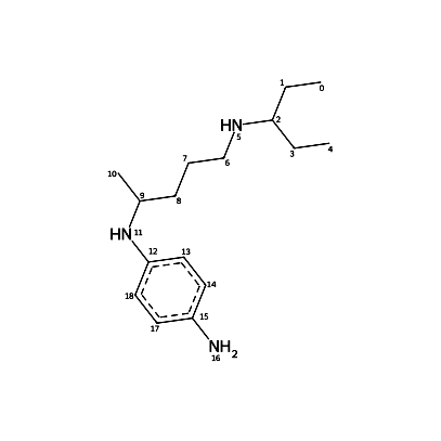 CCC(CC)NCCCC(C)Nc1ccc(N)cc1